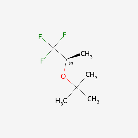 C[C@@H](OC(C)(C)C)C(F)(F)F